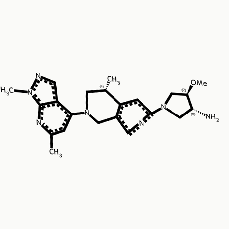 CO[C@@H]1CN(c2cc3c(cn2)CN(c2cc(C)nc4c2cnn4C)C[C@@H]3C)C[C@H]1N